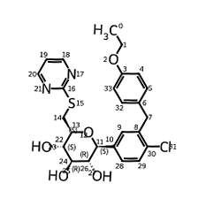 CCOc1ccc(Cc2cc([C@@H]3O[C@H](CSc4ncccn4)[C@@H](O)[C@H](O)[C@H]3O)ccc2Cl)cc1